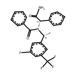 C[C@H](c1cc(F)cc(C(F)(F)F)c1)N(C(=O)c1ccccc1)[C@H](C(N)=O)c1ccccc1